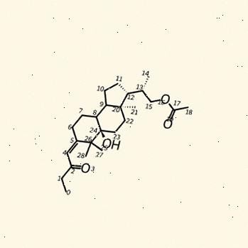 CCC(=O)/C=C1/CCC2C3CC[C@H]([C@H](C)COC(C)=O)[C@@]3(C)CC[C@]2(O)C1(C)C